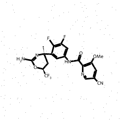 COc1cc(C#N)cnc1C(=O)Nc1cc(F)c(F)c([C@@]2(C)C[C@@H](C(F)(F)F)OC(N)=N2)c1